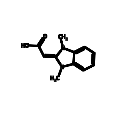 CN1C(=CC(=O)O)N(C)c2ccccc21